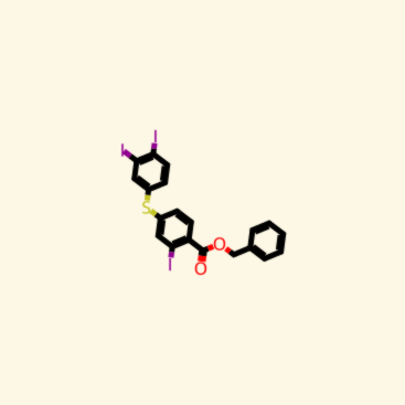 O=C(OCc1ccccc1)c1ccc(Sc2ccc(I)c(I)c2)cc1I